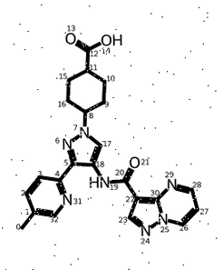 Cc1ccc(-c2nn(C3CCC(C(=O)O)CC3)cc2NC(=O)c2cnn3cccnc23)nc1